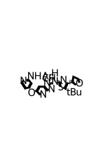 CC(=O)Nc1cc(Oc2cnc3nc(Nc4nc([C@H]5CCOC5)c(C(C)(C)C)s4)n(C)c3c2)ccn1